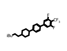 CCC(C)CCC1CCC(c2ccc(-c3cc(F)c(C(F)(F)F)c(F)c3)cc2)CC1